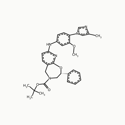 COc1cc(Nc2ccc3c(n2)O[C@H](c2ccccc2)CN(C(=O)OC(C)(C)C)C3)ccc1-n1cnc(C)c1